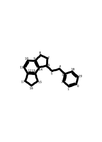 c1ccc(CC[C]2CCc3ccc4c(c32)CCC4)cc1